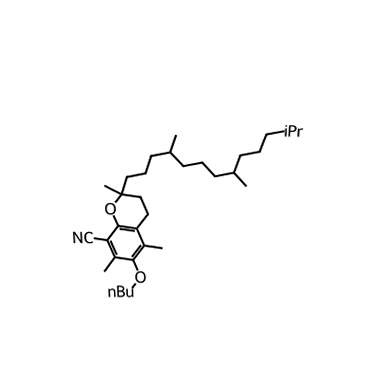 CCCCOc1c(C)c(C#N)c2c(c1C)CCC(C)(CCCC(C)CCCC(C)CCCC(C)C)O2